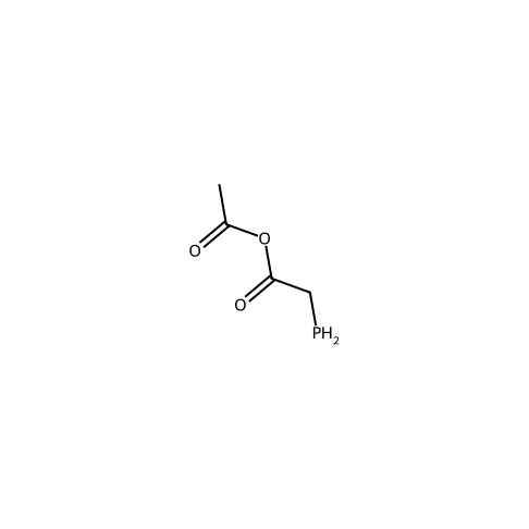 CC(=O)OC(=O)CP